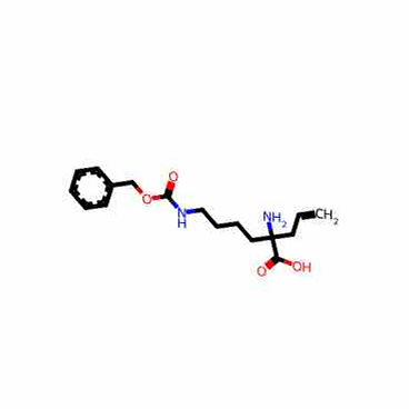 C=CCC(N)(CCCCNC(=O)OCc1ccccc1)C(=O)O